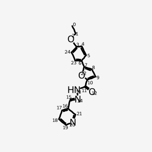 CCOc1ccc(-c2ccc(C(=O)NN=Cc3cccnc3)o2)cc1